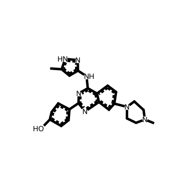 Cc1cc(Nc2nc(-c3ccc(O)cc3)nc3cc(N4CCN(C)CC4)ccc23)n[nH]1